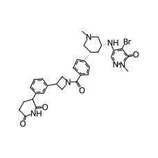 CN1C[C@H](Nc2cnn(C)c(=O)c2Br)C[C@H](c2ccc(C(=O)N3CC(c4cccc(C5CCC(=O)NC5=O)c4)C3)cc2)C1